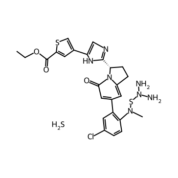 CCOC(=O)c1cc(-c2cnc([C@@H]3CCc4cc(-c5cc(Cl)ccc5N(C)SN(N)N)cc(=O)n43)[nH]2)cs1.S